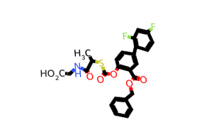 CC(SC(=O)Oc1ccc(-c2ccc(F)cc2F)cc1C(=O)OCc1ccccc1)C(=O)NCC(=O)O